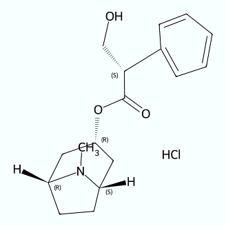 CN1[C@@H]2CC[C@H]1C[C@@H](OC(=O)[C@H](CO)c1ccccc1)C2.Cl